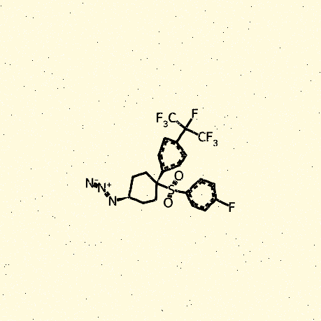 [N-]=[N+]=N[C@H]1CC[C@](c2ccc(C(F)(C(F)(F)F)C(F)(F)F)cc2)(S(=O)(=O)c2ccc(F)cc2)CC1